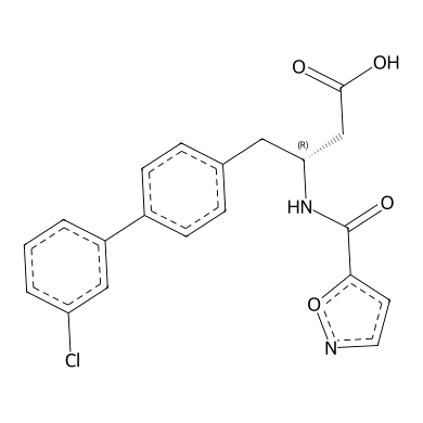 O=C(O)C[C@@H](Cc1ccc(-c2cccc(Cl)c2)cc1)NC(=O)c1ccno1